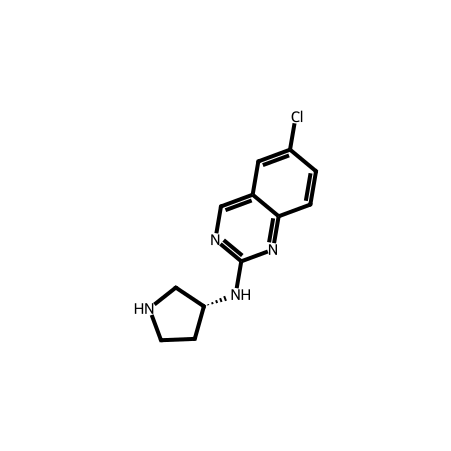 Clc1ccc2nc(N[C@@H]3CCNC3)ncc2c1